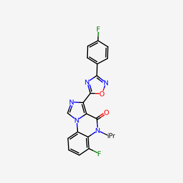 CC(C)n1c(=O)c2c(-c3nc(-c4ccc(F)cc4)no3)ncn2c2cccc(F)c21